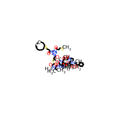 C=C(N[C@H](C)[C@@H](O)c1ccccc1)[C@H](C)[C@@H](OC)[C@@H]1CCCN1C(=O)C[C@@H](OC)[C@H]([C@@H](C)CC)N(C)C(=O)[C@@H](NC(=O)C(C(C)C)N(C)C(=O)CSCCC(=O)N1CN(C(=O)CCSC)CN(C(=O)CCSC2CCCCCCCCCCC2)C1)C(C)C